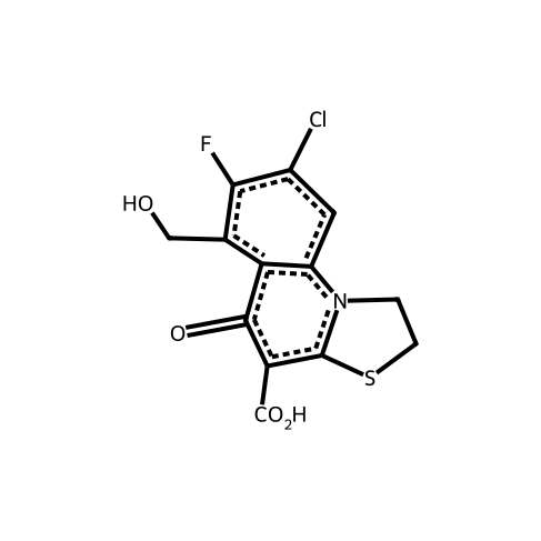 O=C(O)c1c2n(c3cc(Cl)c(F)c(CO)c3c1=O)CCS2